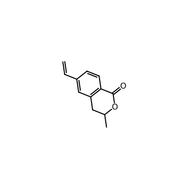 C=Cc1ccc2c(c1)CC(C)OC2=O